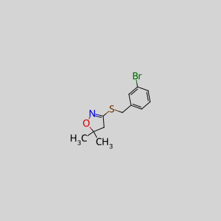 CC1(C)CC(SCc2cccc(Br)c2)=NO1